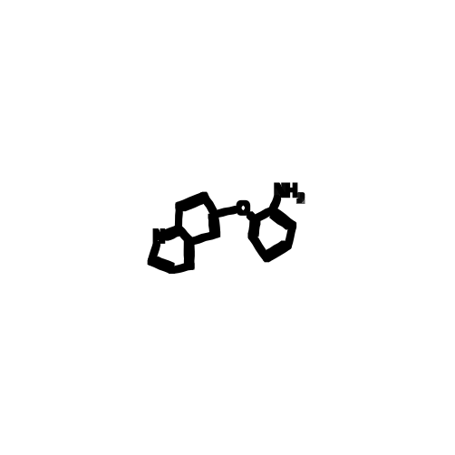 Nc1ccccc1Oc1ccc2ncccc2c1